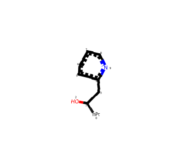 [CH2]CCC(O)Cc1ccccn1